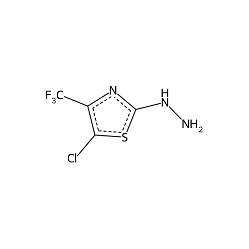 NNc1nc(C(F)(F)F)c(Cl)s1